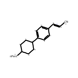 CCCCCC1CCC(c2ccc(/C=C/C#N)cc2)CC1